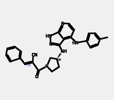 Cc1ccc(Nc2ccnc3[nH]nc(N[C@@H]4CCN(C(=O)/C(C#N)=C/c5ccccc5)C4)c23)cc1